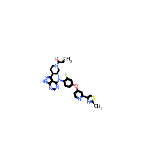 C=CC(=O)N1CCC(c2n[nH]c3ncnc(Nc4ccc(Oc5ccnc(-c6csc(C)n6)c5)cc4F)c23)CC1